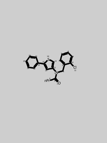 CCCC(=O)N(Cc1ccccc1Cl)c1csc(-c2ccccc2)c1